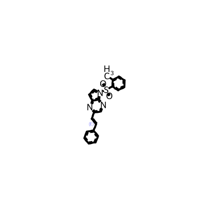 Cc1ccccc1S(=O)(=O)n1ccc2nc(/C=C/c3ccccc3)cnc21